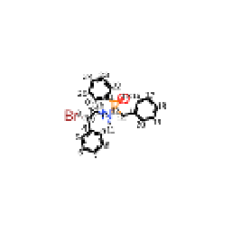 C[C@@H]([C@@H](Br)c1ccccc1)N(C)P(=O)(Cc1ccccc1)c1ccccc1